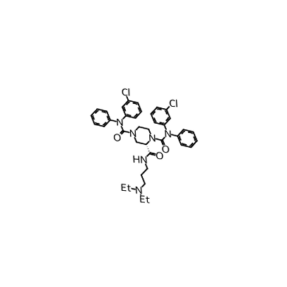 CCN(CC)CCCNC(=O)[C@@H]1CN(C(=O)N(c2ccccc2)c2cccc(Cl)c2)CCN1C(=O)N(c1ccccc1)c1cccc(Cl)c1